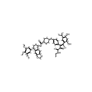 CCNC(=O)c1noc(-c2cc(C(C)C)c(O)cc2O)c1-c1ccc(CN2CCN(C(=O)O[C@@H]3CC[C@H](c4cc(OC)c(OC)c(OC)c4)c4cc5c(cc43)OCO5)CC2)cc1